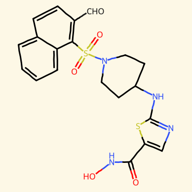 O=Cc1ccc2ccccc2c1S(=O)(=O)N1CCC(Nc2ncc(C(=O)NO)s2)CC1